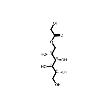 O=C(CO)OC[C@@H](O)[C@@H](O)[C@H](O)[C@H](O)CO